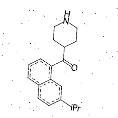 CC(C)c1ccc2cccc(C(=O)C3CCNCC3)c2c1